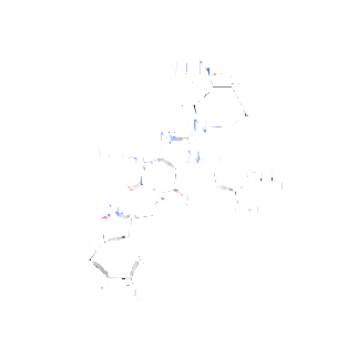 CC(C)=CCn1c(N2CCCC(N)C2)nc2c1c(=O)n(Cc1noc3ccc(F)cc13)c(=O)n2C